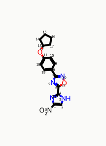 O=[N+]([O-])c1c[nH]c(-c2nc(-c3ccc(OC4CCCC4)cc3)no2)n1